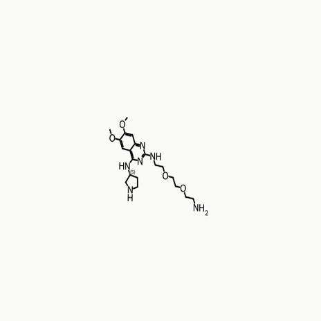 COc1cc2nc(NCCOCCOCCN)nc(N[C@H]3CCNC3)c2cc1OC